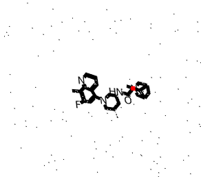 Cc1c(F)cc(N2C[C@@H](C)C[C@@H](NC(=O)CC3C4CC3CN(C)C4)C2)c2cccnc12